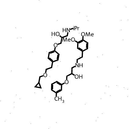 CC(C)NCC(O)COc1ccc(CCOCC2CC2)cc1.COc1ccc(CCNCC(O)COc2cccc(C)c2)cc1OC